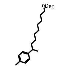 CCCCCCCCCCCCCCCCCCC(C)c1ccc(C)cc1